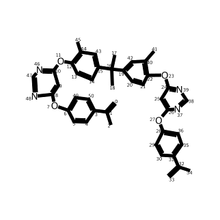 C=C(C)c1ccc(Oc2cc(Oc3ccc(C(C)(C)c4ccc(Oc5cc(Oc6ccc(C(=C)C)cc6)ncn5)c(C)c4)cc3C)ncn2)cc1